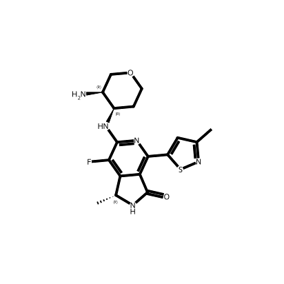 Cc1cc(-c2nc(N[C@@H]3CCOC[C@@H]3N)c(F)c3c2C(=O)N[C@@H]3C)sn1